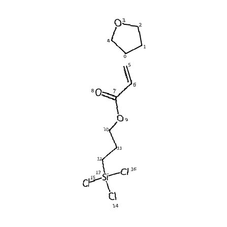 C1CCOC1.C=CC(=O)OCCC[Si](Cl)(Cl)Cl